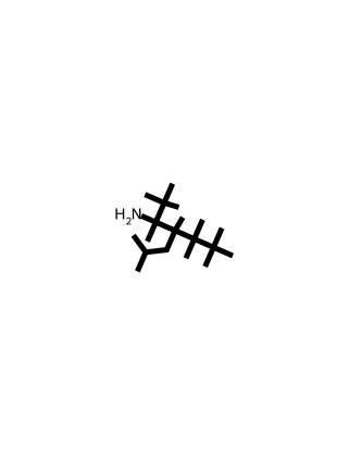 CC(C)CC(C)(C(C)(C)C(C)(C)C)C(C)(N)C(C)(C)C